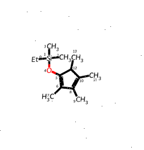 CC[Si](C)(C)OC1=C(C)C(C)=C(C)C1C